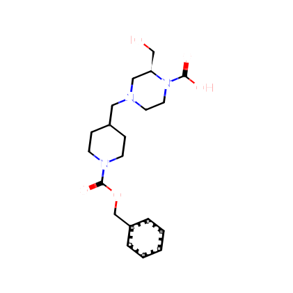 O=C(OCc1ccccc1)N1CCC(CN2CCN(C(=O)O)[C@H](CO)C2)CC1